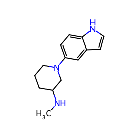 CNC1CCCN(c2ccc3[nH]ccc3c2)C1